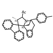 CC(=O)C1[C@@H](C)C2(c3ccccc3-c3ccccc32)[C@@]2(CCc3ccc(C)cc3)c3ccccc3CCN12